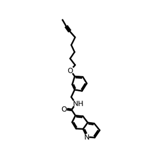 CC#CCCCCCOc1cccc(CNC(=O)c2ccc3ncccc3c2)c1